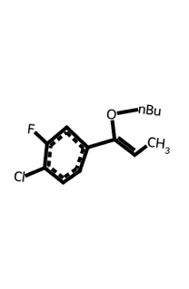 [CH2]CCCOC(=CC)c1ccc(Cl)c(F)c1